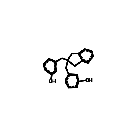 Oc1cccc(CC2(Cc3cccc(O)c3)Cc3ccccc3C2)c1